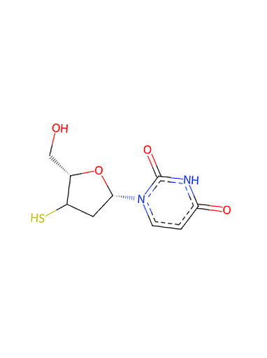 O=c1ccn([C@@H]2CC(S)[C@H](CO)O2)c(=O)[nH]1